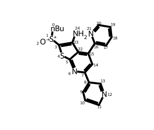 CCCC[S+]([O-])c1sc2nc(-c3cccnc3)cc(-c3ccccn3)c2c1N